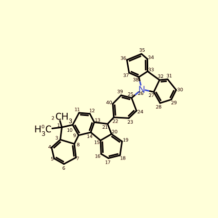 CC1(C)c2ccccc2-c2c1ccc1c2-c2ccccc2C1c1ccc(-n2c3ccccc3c3ccccc32)cc1